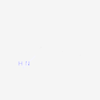 C=C(C)/C=C/N